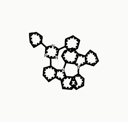 c1ccc(-c2nc(-c3ccccc3)nc(-c3cccc4c5ccccc5n(-c5cccc6c7ccccc7n(-c7ccccc7)c56)c34)n2)cc1